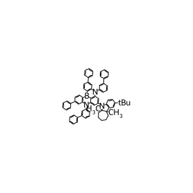 CC(C)(C)c1ccc2c(c1)C1(C)CCCCCC1(C)N2c1cc2c3c(c1)N(c1cccc(-c4ccccc4)c1)c1cc(-c4ccccc4)ccc1B3c1ccc(-c3ccccc3)cc1N2c1cccc(-c2ccccc2)c1